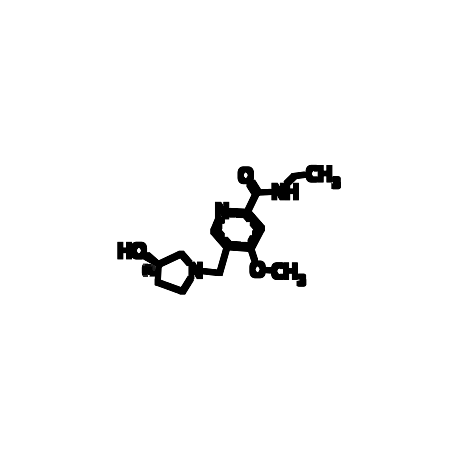 CCNC(=O)c1cc(OC)c(CN2CC[C@@H](O)C2)cn1